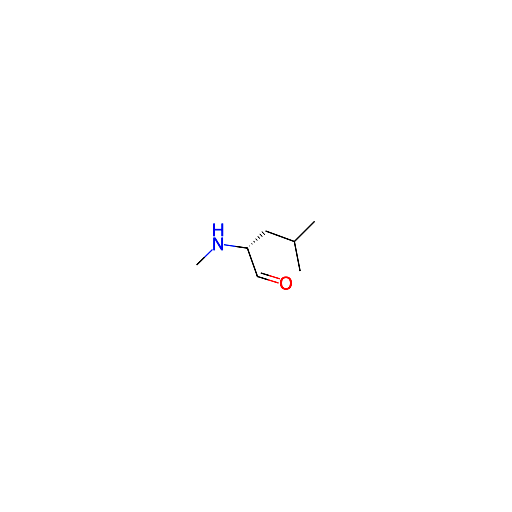 CN[C@@H](C=O)CC(C)C